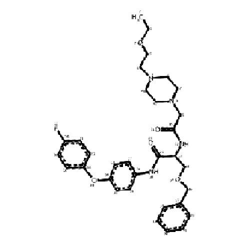 CCOCCN1CCN(CC(=O)NC(COCc2ccccc2)C(=O)Nc2ccc(Oc3ccc(F)cc3)cc2)CC1